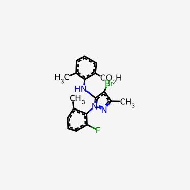 Cc1cccc(C(=O)O)c1Nc1c(Br)c(C)nn1-c1c(C)cccc1F